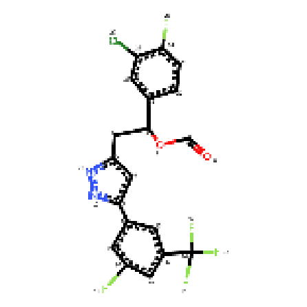 O=COC(Cc1cc(-c2cc(F)cc(C(F)(F)F)c2)[nH]n1)c1ccc(F)c(Cl)c1